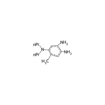 CCCN(CCC)c1cc(N)c(N)cc1C